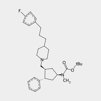 CN(C(=O)OC(C)(C)C)[C@@H]1C[C@H](CN2CCC(CCCc3ccc(F)cc3)CC2)[C@@H](c2ccccc2)C1